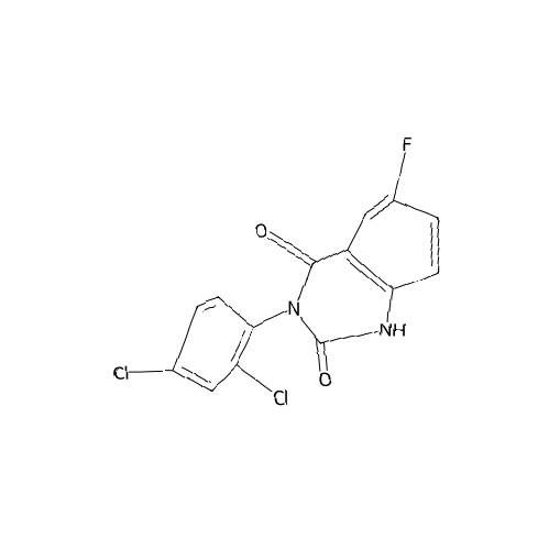 O=c1[nH]c2ccc(F)cc2c(=O)n1-c1ccc(Cl)cc1Cl